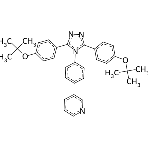 CC(C)(C)Oc1ccc(-c2nnc(-c3ccc(OC(C)(C)C)cc3)n2-c2ccc(-c3cccnc3)cc2)cc1